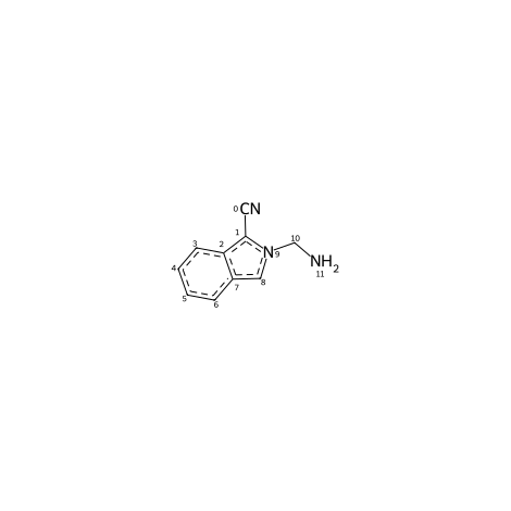 N#Cc1c2ccccc2cn1CN